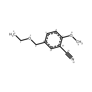 CCOCc1ccc(OC)c(C#N)c1